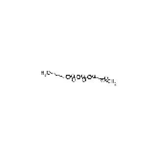 C=CC(=O)OCCCCOc1ccc(C(=O)Oc2ccc(C(=O)Oc3ccc(CCCCCCCCC)cc3)cc2)cc1